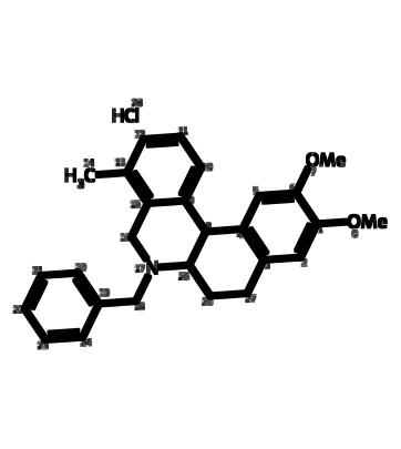 COc1cc2c(cc1OC)C1c3cccc(C)c3CN(Cc3ccccc3)C1CC2.Cl